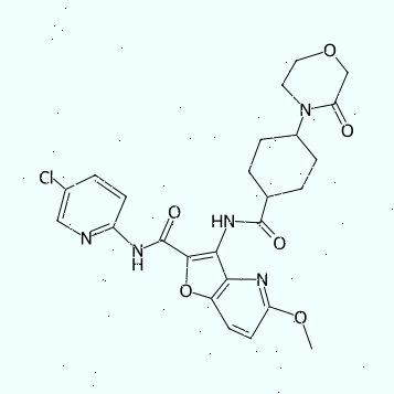 COc1ccc2oc(C(=O)Nc3ccc(Cl)cn3)c(NC(=O)C3CCC(N4CCOCC4=O)CC3)c2n1